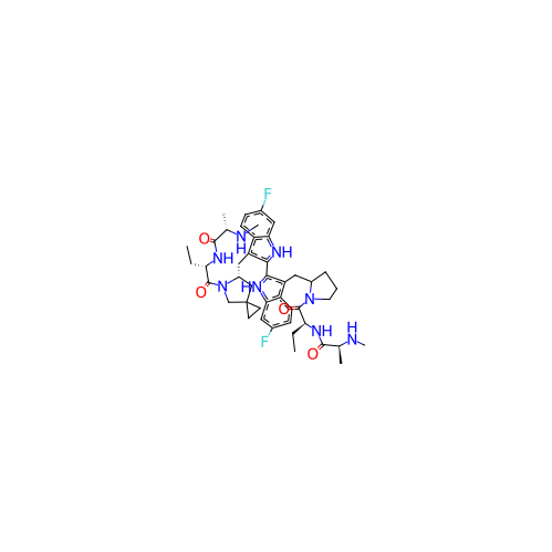 CC[C@H](NC(=O)[C@H](C)NC)C(=O)N1CCCC1Cc1c(-c2[nH]c3cc(F)ccc3c2C[C@@H]2CC3(CC3)CN2C(=O)[C@H](CC)NC(=O)[C@H](C)NC)[nH]c2cc(F)ccc12